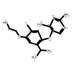 CC(C)c1cc(OCCO)c(I)cc1Oc1cnc(N)nc1N